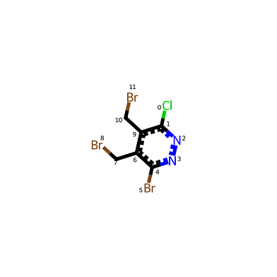 Clc1nnc(Br)c(CBr)c1CBr